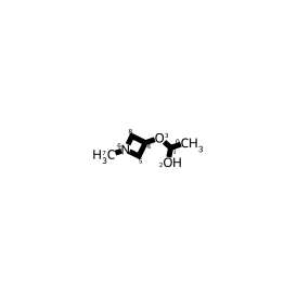 CC(O)OC1CN(C)C1